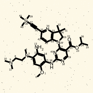 COc1cc(N(C)CCN(C)C)c(N)cc1Nc1ncc(C(=O)OC(C)C)c(N2CC(C)(C)c3nc(C#C[Si](C)(C)C)ccc32)n1